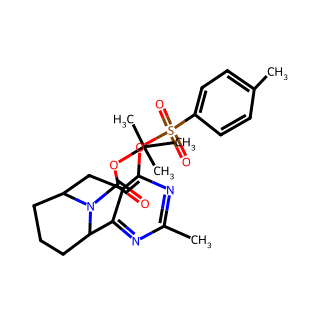 Cc1ccc(S(=O)(=O)Oc2nc(C)nc3c2CC2CCCC3N2C(=O)OC(C)(C)C)cc1